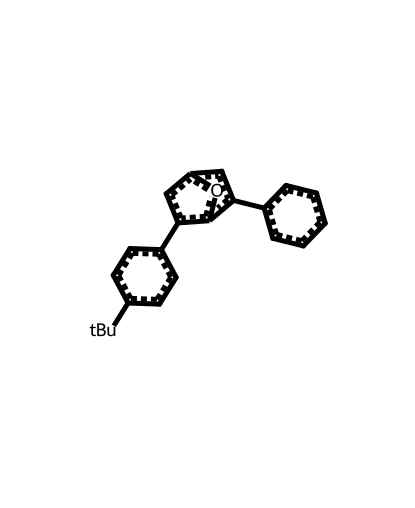 CC(C)(C)c1ccc(-c2cc3cc(-c4ccccc4)c2o3)cc1